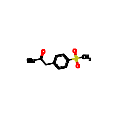 CC(C)(C)C(=O)Cc1ccc(S(C)(=O)=O)cc1